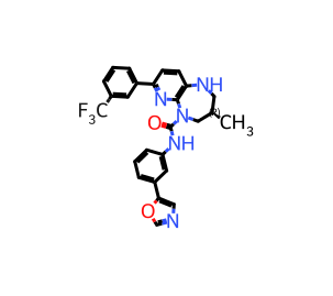 C[C@@H]1CNc2ccc(-c3cccc(C(F)(F)F)c3)nc2N(C(=O)Nc2cccc(-c3cnco3)c2)C1